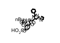 CCCCOP(=O)(O)CC[C@H](NC(=O)c1cc(-n2cccn2)nc(-c2ccccc2)n1)C(=O)N1CCN(OC(=O)O)CC1